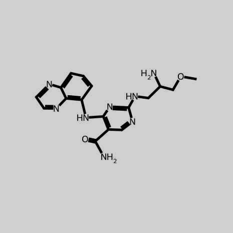 COCC(N)CNc1ncc(C(N)=O)c(Nc2cccc3nccnc23)n1